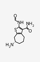 NC(=O)c1c(NC=O)sc2c1CCC[C@H](N)C2